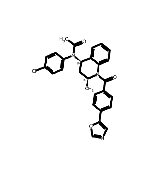 CC(=O)N(c1ccc(Cl)cc1)[C@@H]1C[C@H](C)N(C(=O)c2ccc(-c3cnco3)cc2)c2ccccc21